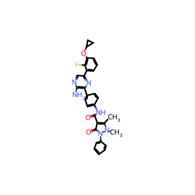 Cc1c(C(=O)Nc2ccc(-c3nc(-c4cccc(OC5CC5)c4F)cnc3N)cc2)c(=O)n(-c2ccccc2)n1C